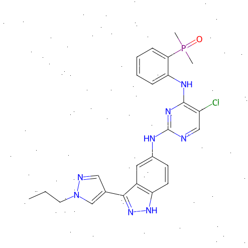 CCCn1cc(-c2n[nH]c3ccc(Nc4ncc(Cl)c(Nc5ccccc5P(C)(C)=O)n4)cc23)cn1